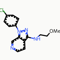 COCCNc1nn(-c2ccc(Cl)cc2)c2cnccc12